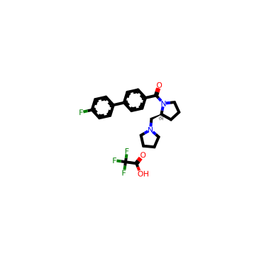 O=C(O)C(F)(F)F.O=C(c1ccc(-c2ccc(F)cc2)cc1)N1CCC[C@H]1CN1CCCC1